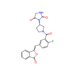 O=C1OC(=Cc2ccc(F)c(C(=O)N3CC[C@@H](N4C(=O)CNC4=O)C3)c2)c2ccccc21